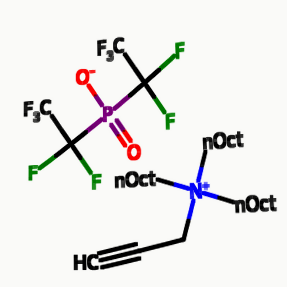 C#CC[N+](CCCCCCCC)(CCCCCCCC)CCCCCCCC.O=P([O-])(C(F)(F)C(F)(F)F)C(F)(F)C(F)(F)F